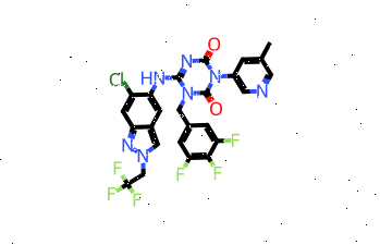 Cc1cncc(-n2c(=O)nc(Nc3cc4cn(CC(F)(F)F)nc4cc3Cl)n(Cc3cc(F)c(F)c(F)c3)c2=O)c1